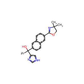 CC(C)C(O)(c1ccc2cc(C3=NC(C)(C)CO3)ccc2c1)c1c[nH]cn1